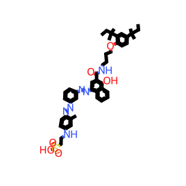 CCC(C)(C)c1ccc(OCCCCNC(=O)c2cc(N=Nc3cccc(N=Nc4ccc(NCCS(=O)(=O)O)cc4C)c3)c3ccccc3c2O)c(C(C)(C)CC)c1